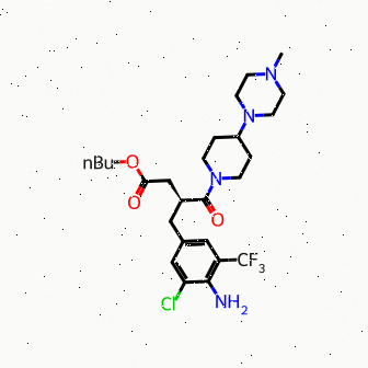 CCCCOC(=O)C[C@H](Cc1cc(Cl)c(N)c(C(F)(F)F)c1)C(=O)N1CCC(N2CCN(C)CC2)CC1